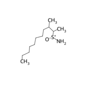 CCCCCCCCC(C)C(C)[S+](N)[O-]